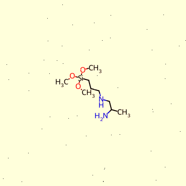 CO[Si](CCCNCC(C)N)(OC)OC